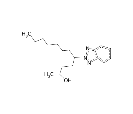 CCCCCCCC(CCC(C)O)n1nc2ccccc2n1